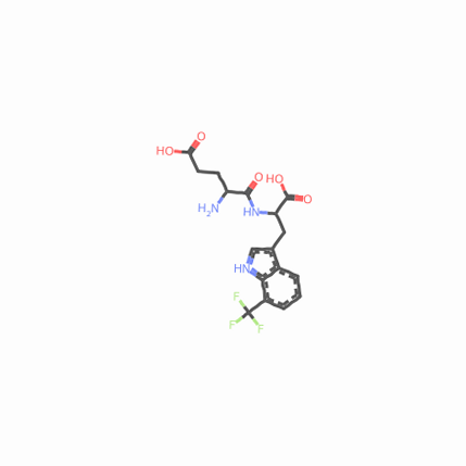 NC(CCC(=O)O)C(=O)NC(Cc1c[nH]c2c(C(F)(F)F)cccc12)C(=O)O